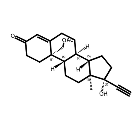 C#C[C@]1(O)CC[C@H]2[C@@H]3CCC4=CC(=O)CC[C@]4(COC(C)=O)[C@H]3CC[C@@]21C